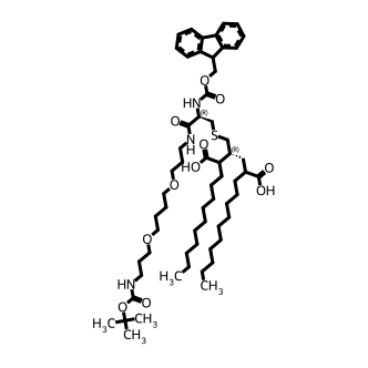 CCCCCCCCCCC(C[C@@H](CSC[C@H](NC(=O)OCC1c2ccccc2-c2ccccc21)C(=O)NCCCOCCCCOCCCNC(=O)OC(C)(C)C)C(CCCCCCCCCC)C(=O)O)C(=O)O